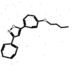 CCCCOC1=CCC=C(c2cc(C3=CC=CCC=C3)no2)C=C1